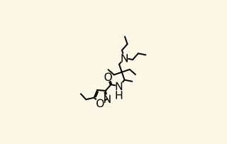 CCCN(CCC)CC(CC)(CC)C(C)NC(=O)c1cc(CC)on1